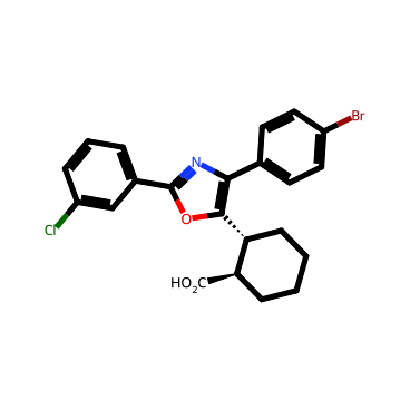 O=C(O)[C@@H]1CCCC[C@H]1c1oc(-c2cccc(Cl)c2)nc1-c1ccc(Br)cc1